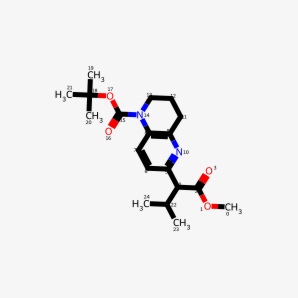 COC(=O)C(c1ccc2c(n1)CCCN2C(=O)OC(C)(C)C)C(C)C